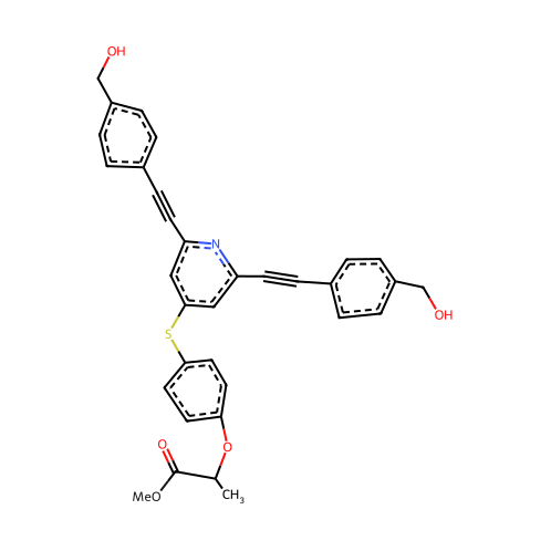 COC(=O)C(C)Oc1ccc(Sc2cc(C#Cc3ccc(CO)cc3)nc(C#Cc3ccc(CO)cc3)c2)cc1